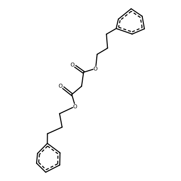 O=C(CC(=O)OCCCc1ccccc1)OCCCc1ccccc1